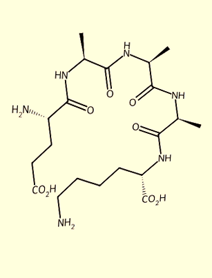 C[C@H](NC(=O)[C@H](C)NC(=O)[C@@H](N)CCC(=O)O)C(=O)N[C@@H](C)C(=O)N[C@@H](CCCCN)C(=O)O